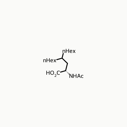 CCCCCCC(CCCCCC)C[C@H](NC(C)=O)C(=O)O